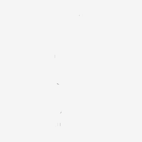 CCCCCc1ccc(CC[C@H]2CC[C@H]([C@H]3CC[C@H](CCC)CC3)CC2)c(F)c1